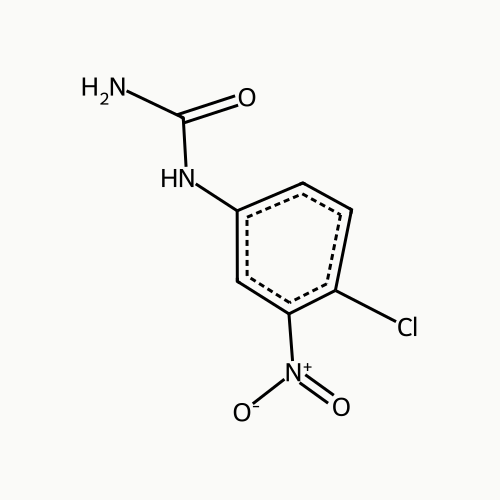 NC(=O)Nc1ccc(Cl)c([N+](=O)[O-])c1